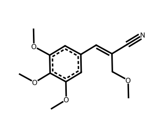 COCC(C#N)=Cc1cc(OC)c(OC)c(OC)c1